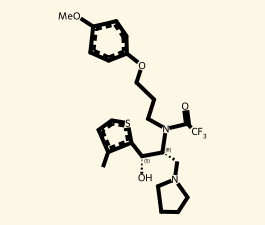 COc1ccc(OCCCN(C(=O)C(F)(F)F)[C@H](CN2CCCC2)[C@H](O)c2sccc2C)cc1